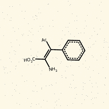 CC(=O)C(=C(N)C(=O)O)c1ccccc1